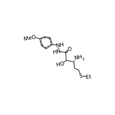 CCSCC[C@@H](N)C(O)C(=O)NNc1ccc(OC)cc1